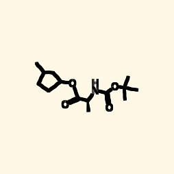 CC1CCC(OC(=O)[C@H](C)NC(=O)OC(C)(C)C)C1